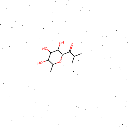 CC(C)C(=O)C1OC(C)C(O)C(O)C1O